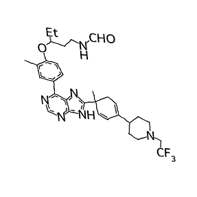 CCC(CCNC=O)Oc1ccc(-c2ncnc3[nH]c(C4(C)C=CC(C5CCN(CC(F)(F)F)CC5)=CC4)nc23)cc1C